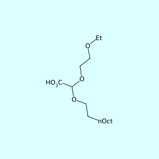 CCCCCCCCCCOC(OCCOCC)C(=O)O